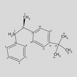 C[C@H]([SiH2]c1ccccc1)c1ccc(C(C)(C)C)cc1